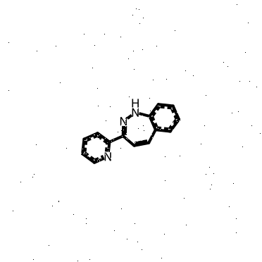 C1=Cc2ccccc2NN=C1c1ccccn1